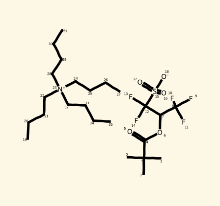 CC(C)(C)C(=O)OC(C(F)(F)F)C(F)(F)S(=O)(=O)[O-].CCCC[N+](CCCC)(CCCC)CCCC